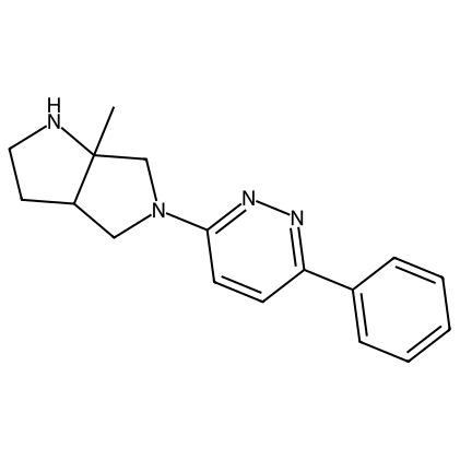 CC12CN(c3ccc(-c4ccccc4)nn3)CC1CCN2